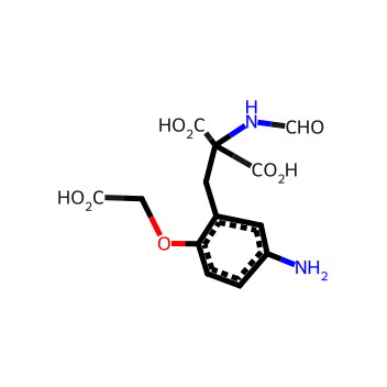 Nc1ccc(OCC(=O)O)c(CC(NC=O)(C(=O)O)C(=O)O)c1